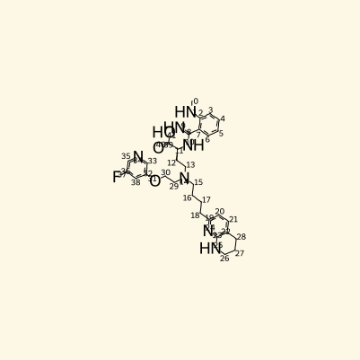 CNc1ccccc1C(=N)N[C@@H](CCN(CCCCc1ccc2c(n1)NCCC2)CCOc1cncc(F)c1)C(=O)O